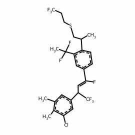 Cc1cc(C(/C=C(\F)c2ccc(C(C)CSCCC(F)(F)F)c(C(C)(F)F)c2)C(F)(F)F)cc(Cl)c1C